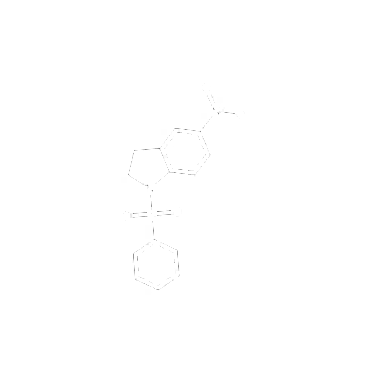 O=[N+]([O-])c1ccc2c(c1)CCN2S(=O)(=O)c1ccccc1